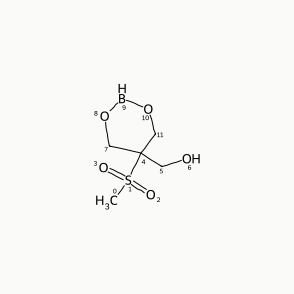 CS(=O)(=O)C1(CO)COBOC1